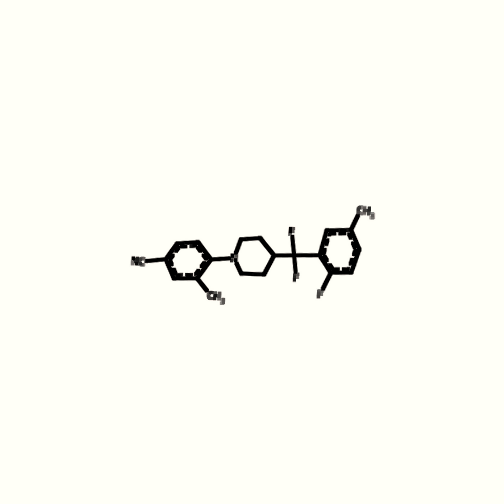 Cc1ccc(F)c(C(F)(F)C2CCN(c3ccc(C#N)cc3C)CC2)c1